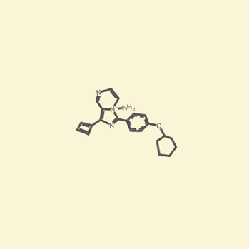 N[N+]12C=CN=CC1=C(C1=CC=C1)N=C2c1ccc(OC2CCCCC2)cc1